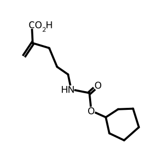 C=C(CCCNC(=O)OC1CCCCC1)C(=O)O